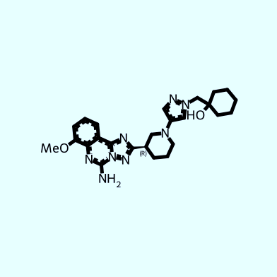 COc1cccc2c1nc(N)n1nc([C@@H]3CCCN(c4cnn(CC5(O)CCCCC5)c4)C3)nc21